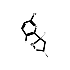 C[C@H]1C[C@](C)(c2nc(Br)ccc2F)NO1